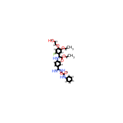 CCOC(=O)C(Nc1ccc(C(=N)NOC(=O)Nc2ccccc2)cc1)c1cc(OCC)c(OCCO)cc1F